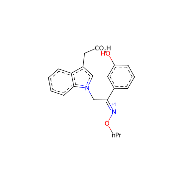 CCCO/N=C(\Cn1cc(CC(=O)O)c2ccccc21)c1cccc(O)c1